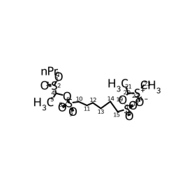 CCCOS(=O)C(C)OS(=O)(=O)CCCCCCS(=O)(=O)OC(C)[S+](C)[O-]